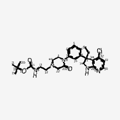 CCC1(c2cccc(N3CCN(CCNC(=O)OC(C)(C)C)CC3=O)c2)CNc2nccc(Cl)c21